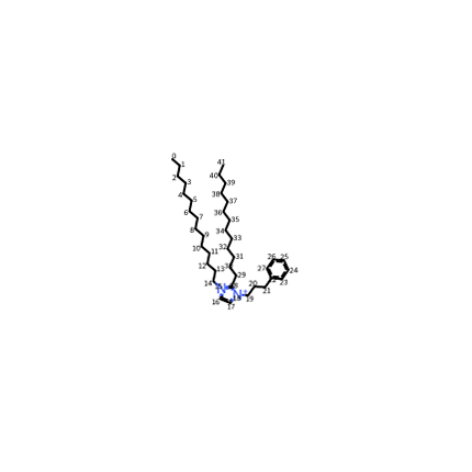 CCCCCCCCCCCCCCCn1cc[n+](CCCc2ccccc2)c1CCCCCCCCCCCCC